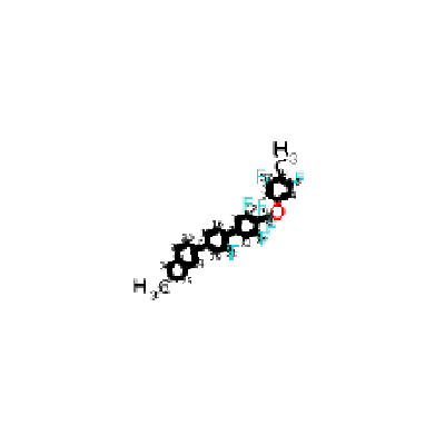 Cc1c(F)cc(OC(F)(F)c2c(F)cc(-c3ccc(-c4ccc5c(c4)CC(C)C5)cc3F)cc2F)cc1F